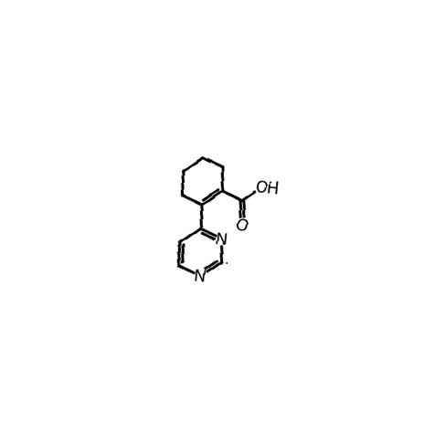 O=C(O)C1=C(c2ccn[c]n2)CCCC1